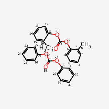 Cc1ccccc1OC(=O)Oc1ccccc1C.O=C(Oc1ccccc1)Oc1ccccc1